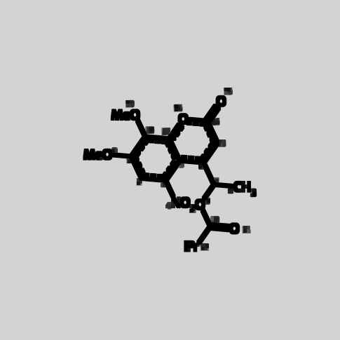 COc1cc([N+](=O)[O-])c2c(C(C)OC(=O)C(C)C)cc(=O)oc2c1OC